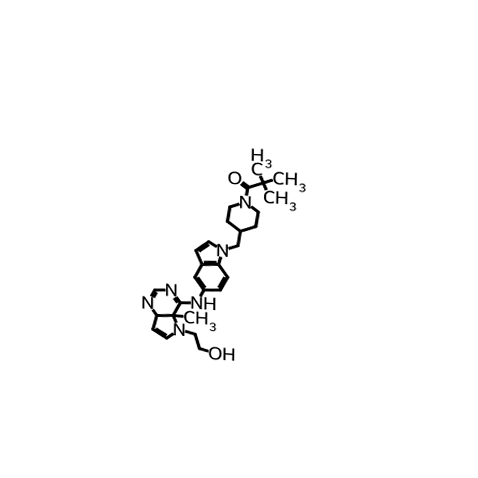 CC(C)(C)C(=O)N1CCC(Cn2ccc3cc(NC4=NC=NC5C=CN(CCO)C45C)ccc32)CC1